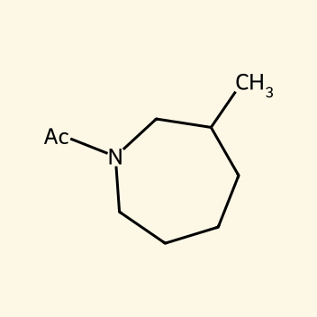 CC(=O)N1CCCCC(C)C1